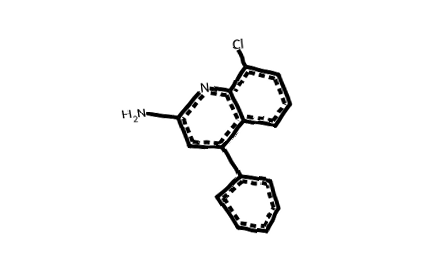 Nc1cc(-c2ccccc2)c2cccc(Cl)c2n1